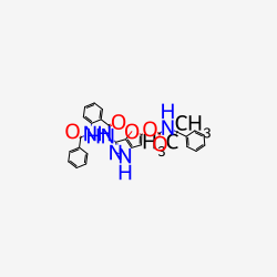 CC(C)(NC(=O)Oc1cc2[nH]nc(NC(=O)c3ccccc3NC(=O)c3ccccc3)c2o1)c1ccccc1